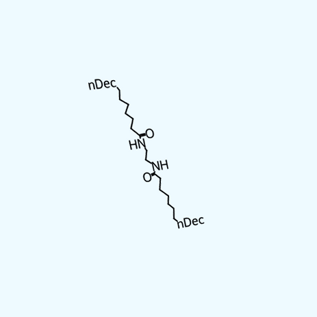 CCCCCCCCCCCCCCCCC(=O)NCCNC(=O)CCCCCCCCCCCCCCCC